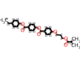 C=C(C)C(=O)OCCCOc1ccc(C(=O)Oc2ccc(C(=O)Oc3ccc(CC)cc3)cc2)cc1